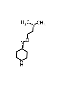 CN(C)CCON=C1CCNCC1